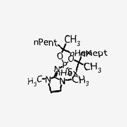 CCCCCCCC(C)(CCCCCC)OP(=S)(N=C1N(C)CCN1C)OC(C)(CCCCC)CCCCCC